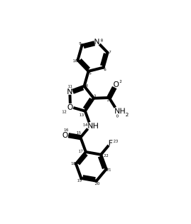 NC(=O)c1c(-c2ccncc2)noc1NC(=O)c1ccccc1F